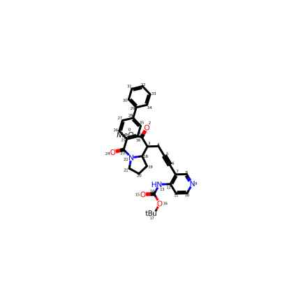 COC(=O)C(CC#Cc1cnccc1NC(=O)OC(C)(C)C)C1CCCN1C(=O)c1ccc(-c2ccccc2)cc1